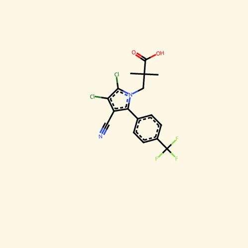 CC(C)(Cn1c(Cl)c(Cl)c(C#N)c1-c1ccc(C(F)(F)F)cc1)C(=O)O